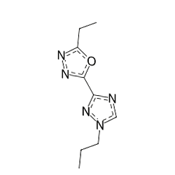 CCCn1cnc(-c2nnc(CC)o2)n1